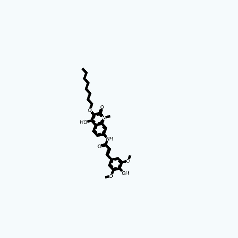 CCCCCCCCOc1c(O)c2ccc(NC(=O)C=Cc3cc(OC)c(O)c(OC)c3)cc2n(C)c1=O